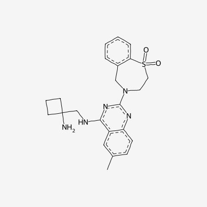 Cc1ccc2nc(N3CCS(=O)(=O)c4ccccc4C3)nc(NCC3(N)CCC3)c2c1